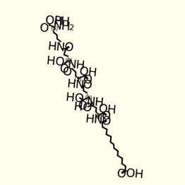 O=C(O)CCCCCCCCCCCCC(=O)N[C@@H](CCC(O)N[C@@H](CCC(=O)N[C@@H](CCC(=O)N[C@@H](CCC(=O)NCCCC[C@H](NP)C(=O)O)C(=O)O)C(=O)O)C(=O)O)C(=O)O